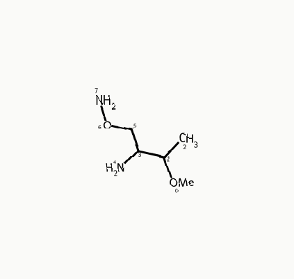 COC(C)C(N)CON